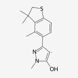 Cc1c(-c2[c]c(O)n(C)n2)ccc2c1C(C)(C)CS2